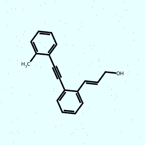 Cc1ccccc1C#Cc1ccccc1C=CCO